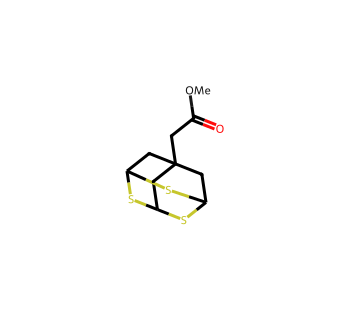 COC(=O)CC12CC3SC(C1)SC(C2)S3